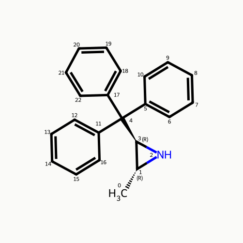 C[C@H]1N[C@@H]1C(c1ccccc1)(c1ccccc1)c1ccccc1